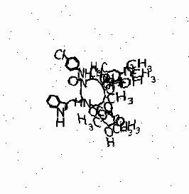 CO[C@]1(C)C[C@H](O[C@H]2[C@H](C)[C@@H](O[C@@H]3O[C@H](C)C[C@H](N(C)C)[C@H]3O)[C@](C)(O)C[C@@H](C)CN(C(=O)Nc3ccc(Cl)cc3)CCC(/C=C/c3c[nH]c4ccccc34)NC(=O)[C@@H]2C)O[C@@H](C)[C@@H]1O